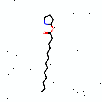 CCCCCCCCCCCCC(=O)OC1CCC[N]1